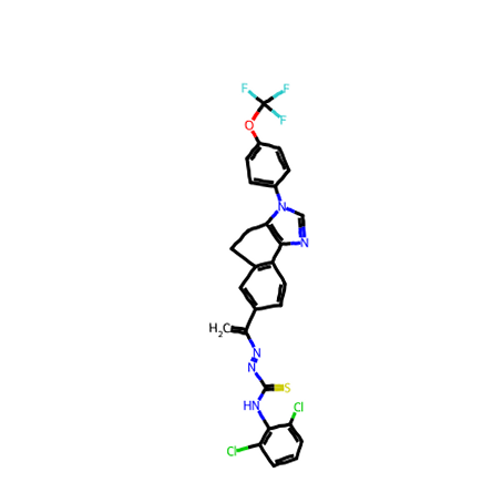 C=C(N=NC(=S)Nc1c(Cl)cccc1Cl)c1ccc2c(c1)CCc1c-2ncn1-c1ccc(OC(F)(F)F)cc1